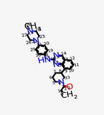 C=CC(=O)N1CCCC(c2cccc3cnc(Nc4ccc(N5CCN(C)CC5)cc4)nc23)C1